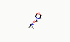 C/C=N/OCN1CCOCC1